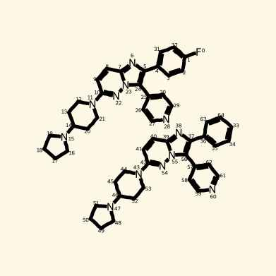 Fc1ccc(-c2nc3ccc(N4CCC(N5CCCC5)CC4)nn3c2-c2ccncc2)cc1.c1ccc(-c2nc3ccc(N4CCC(N5CCCC5)CC4)nn3c2-c2ccncc2)cc1